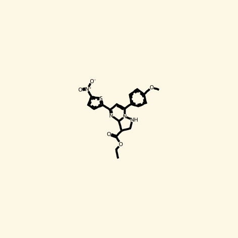 CCOC(=O)C1CNN2C(c3ccc(OC)cc3)=CC(c3ccc([N+](=O)[O-])s3)=NC12